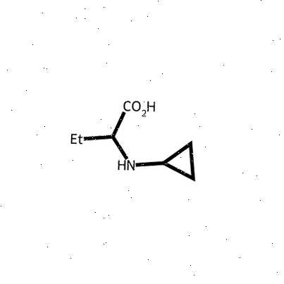 CCC(NC1CC1)C(=O)O